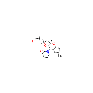 CC(C)(CO)CC(C)(C)O[C@H]1[C@H](N2CCCC3OC32)c2cc(C#N)ccc2OC1(C)C